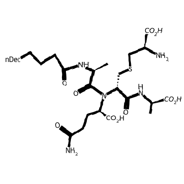 CCCCCCCCCCCCCC(=O)N[C@@H](C)C(=O)N([C@H](CCC(N)=O)C(=O)O)[C@H](CSC[C@H](N)C(=O)O)C(=O)N[C@H](C)C(=O)O